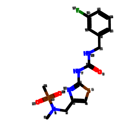 CN(Cc1csc(NC(=O)NCc2cccc(F)c2)n1)S(C)(=O)=O